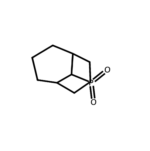 O=P(=O)C1C2CCCC1CCC2